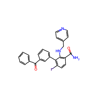 NC(=O)c1ccc(I)c(-c2cccc(C(=O)c3ccccc3)c2)c1NCc1ccncc1